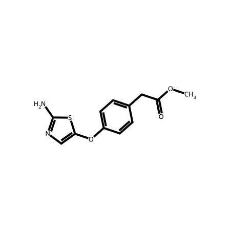 COC(=O)Cc1ccc(Oc2cnc(N)s2)cc1